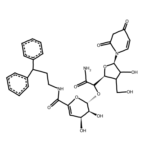 NC(=O)C(O[C@H]1OC(C(=O)NCCC(c2ccccc2)c2ccccc2)=C[C@H](O)[C@@H]1O)[C@H]1O[C@@H](N2C=CC(=O)CC2=O)C(O)C1CO